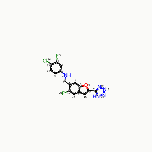 Fc1cc(NCc2cc3oc(-c4nnn[nH]4)cc3cc2F)ccc1Cl